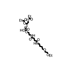 CCOCCOCCCCNC(=O)CCC(=O)NCCOP(=O)(O)OC[C@@H](COC(=O)CC)OC(=O)CC